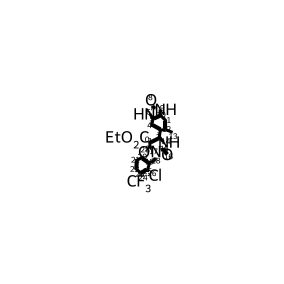 CCOC(=O)c1c(-c2cc3[nH]c(=O)[nH]c3cc2C)[nH]c(=O)n(Cc2cccc(C(F)(F)F)c2Cl)c1=O